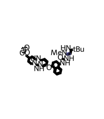 CN/C(=C\C(=N)C(C)(C)C)NC(=O)NC1CC[C@@H](Oc2ccc(=N)n(C(=N)N3CCC(COS(C)(=O)=O)CC3)c2)c2ccccc21